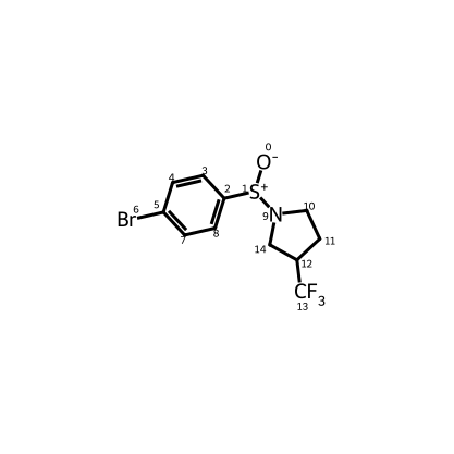 [O-][S+](c1ccc(Br)cc1)N1CCC(C(F)(F)F)C1